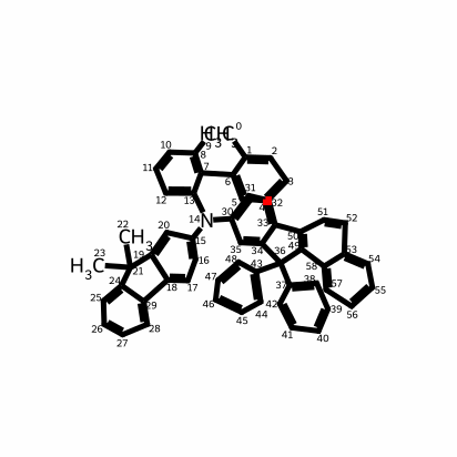 Cc1ccccc1-c1c(C)cccc1N(c1ccc2c(c1)C(C)(C)c1ccccc1-2)c1ccc2c(c1)C(c1ccccc1)(c1ccccc1)c1c-2ccc2ccccc12